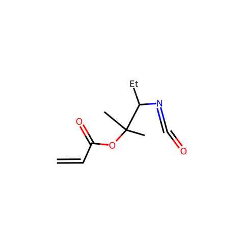 C=CC(=O)OC(C)(C)C(CC)N=C=O